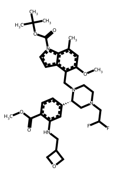 COC(=O)c1ccc([C@H]2CN(CC(F)F)CCN2Cc2c(OC)cc(C)c3c2ccn3C(=O)OC(C)(C)C)cc1NCC1COC1